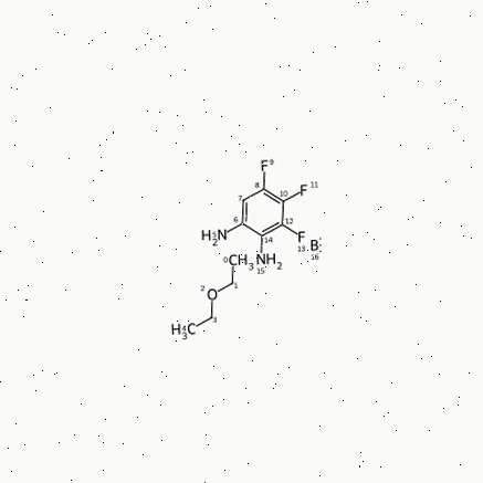 CCOCC.Nc1cc(F)c(F)c(F)c1N.[B]